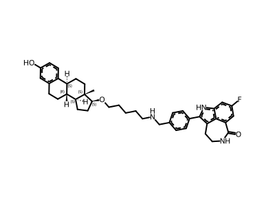 C[C@]12CC[C@@H]3c4ccc(O)cc4CC[C@H]3[C@@H]1CC[C@@H]2OCCCCCNCc1ccc(-c2[nH]c3cc(F)cc4c3c2CCNC4=O)cc1